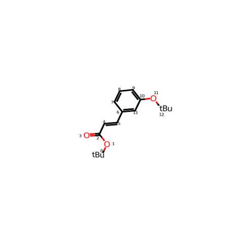 CC(C)(C)OC(=O)C=Cc1cccc(OC(C)(C)C)c1